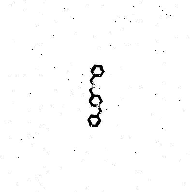 C1=C(COCc2ccccc2)CCN(Cc2ccccc2)C1